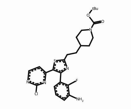 CC(C)(C)OC(=O)N1CCC(CCc2nc(-c3cccc(N)c3F)c(-c3ccnc(Cl)n3)s2)CC1